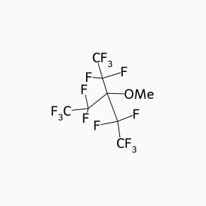 COC(C(F)(F)C(F)(F)F)(C(F)(F)C(F)(F)F)C(F)(F)C(F)(F)F